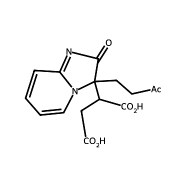 CC(=O)CCC1(C(CC(=O)O)C(=O)O)C(=O)N=C2C=CC=CN21